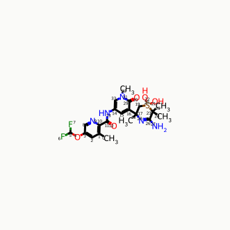 Cc1cc(OC(F)F)cnc1C(=O)Nc1cc(C2(C)CS(O)(O)C(C)(C)C(N)=N2)c(=O)n(C)c1